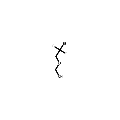 CCC(F)(F)COCC#N